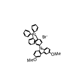 COc1ccc2c(c1)c1cc(OC)ccc1n2-c1ccc(C[P+](c2ccccc2)(c2ccccc2)c2ccccc2)cc1.[Br-]